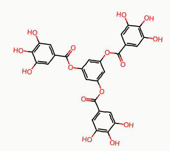 O=C(Oc1cc(OC(=O)c2cc(O)c(O)c(O)c2)cc(OC(=O)c2cc(O)c(O)c(O)c2)c1)c1cc(O)c(O)c(O)c1